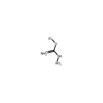 CCOC(=O)N[N+](=O)[O-].N